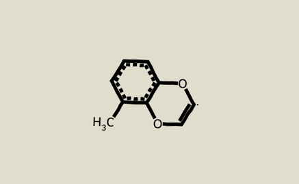 Cc1cccc2c1OC=[C]O2